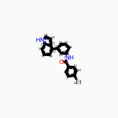 CCc1ccc(C(=O)Nc2cccc(-c3cccc4[nH]ccc34)c2)cc1